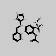 CC(=O)Nc1ccccc1[As](=O)(O)OO.c1ccc(CSc2nncs2)cc1